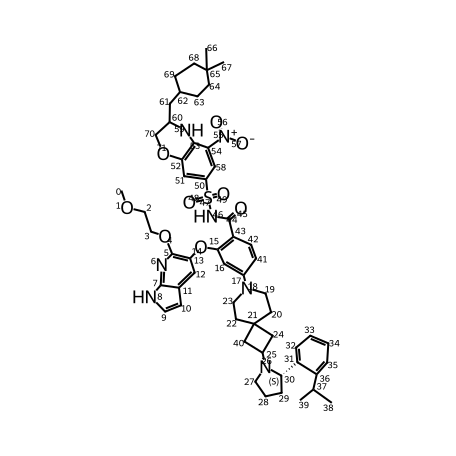 COCCOc1nc2[nH]ccc2cc1Oc1cc(N2CCC3(CC2)CC(N2CCC[C@H]2c2ccccc2C(C)C)C3)ccc1C(=O)NS(=O)(=O)c1cc2c(c([N+](=O)[O-])c1)NC(CC1CCC(C)(C)CC1)CO2